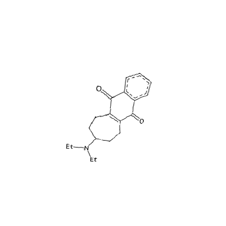 CCN(CC)C1CCC2=C(CC1)C(=O)c1ccccc1C2=O